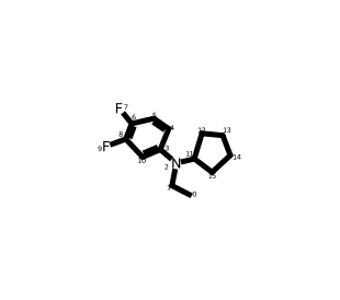 CCN(c1ccc(F)c(F)c1)C1CCCC1